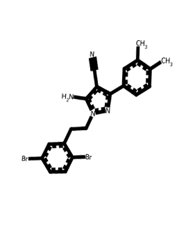 Cc1ccc(-c2nn(CCc3cc(Br)ccc3Br)c(N)c2C#N)cc1C